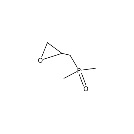 CP(C)(=O)CC1CO1